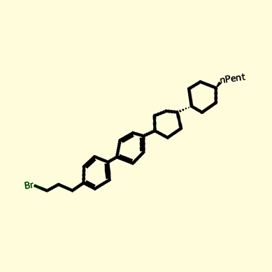 CCCCC[C@H]1CC[C@H](C2CCC(c3ccc(-c4ccc(CCCBr)cc4)cc3)CC2)CC1